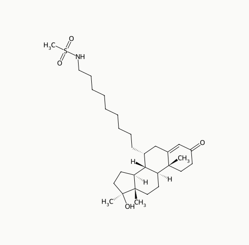 C[C@]12CCC(=O)C=C1C[C@@H](CCCCCCCCCNS(C)(=O)=O)[C@@H]1[C@@H]2CC[C@@]2(C)[C@H]1CC[C@]2(C)O